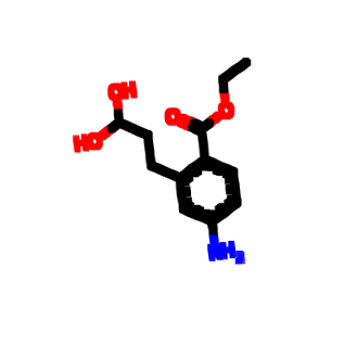 CCOC(=O)c1ccc(N)cc1CCC(O)O